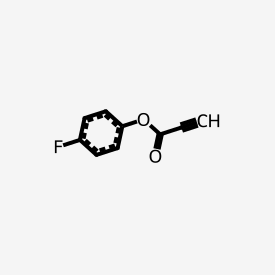 C#CC(=O)Oc1ccc(F)cc1